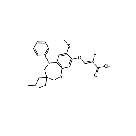 CCCC1(CC)CSc2cc(O/C=C(\F)C(=O)O)c(SC)cc2N(c2ccccc2)C1